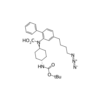 CC(C)(C)OC(=O)N[C@H]1CC[C@H](N(C(=O)O)c2cc(CCCCN=[N+]=[N-])ccc2-c2ccccc2)CC1